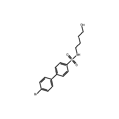 O=S(=O)(NCCCCO)c1ccc(-c2ccc(Br)cc2)cc1